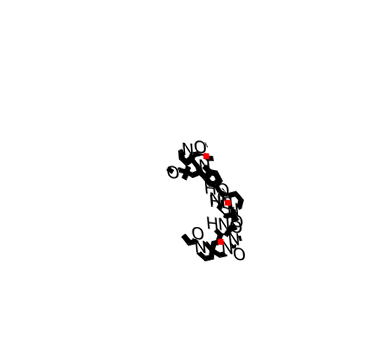 C=CC(=O)N1CCCC2(CCN(C(=O)N(C)[C@H](C(=O)N[C@@H](Cc3nc(-c4ccc5c(c4)c(CC(C)(C)COC)c(-c4cccnc4[C@H](C)OC)n5CC)cs3)C(=O)N3CCC[C@@H](O)N3)C(C)C)CC2)C1